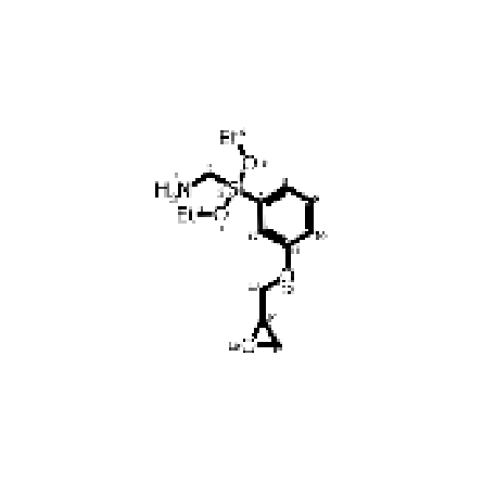 CCO[Si](CN)(OCC)c1cccc(OCC2CO2)c1